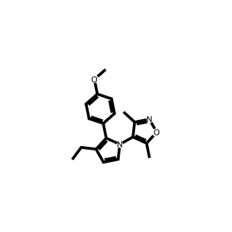 CCc1ccn(-c2c(C)noc2C)c1-c1ccc(OC)cc1